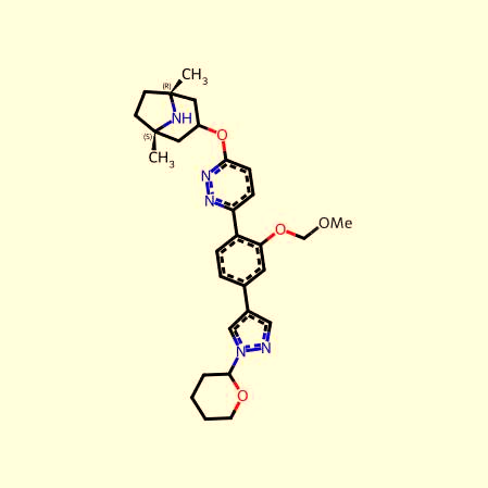 COCOc1cc(-c2cnn(C3CCCCO3)c2)ccc1-c1ccc(OC2C[C@]3(C)CC[C@](C)(C2)N3)nn1